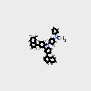 CN(c1ccccc1)c1ccc(-n2c3ccc(-c4cccc5ccccc45)cc3c3cc(-c4cccc5ccccc45)ccc32)cc1